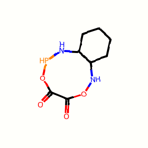 O=C1ONC2CCCCC2NPOC1=O